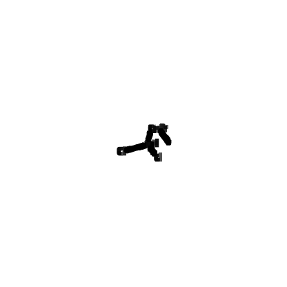 C[CH]CC.[Cl][SnH]([Cl])[Cl]